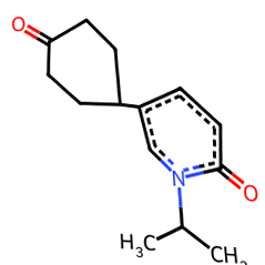 CC(C)n1cc(C2CCC(=O)CC2)ccc1=O